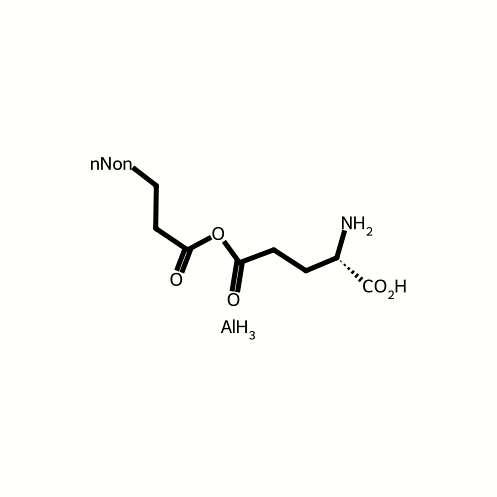 CCCCCCCCCCCC(=O)OC(=O)CC[C@H](N)C(=O)O.[AlH3]